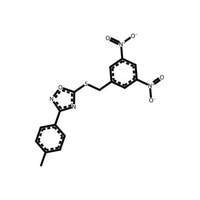 Cc1ccc(-c2noc(SCc3cc([N+](=O)[O-])cc([N+](=O)[O-])c3)n2)cc1